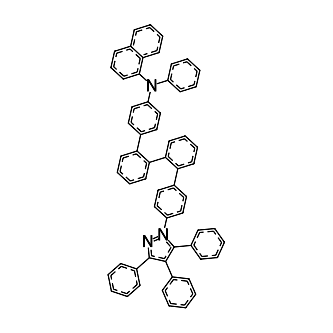 c1ccc(-c2nn(-c3ccc(-c4ccccc4-c4ccccc4-c4ccc(N(c5ccccc5)c5cccc6ccccc56)cc4)cc3)c(-c3ccccc3)c2-c2ccccc2)cc1